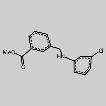 COC(=O)c1cccc(CNc2cccc(Cl)c2)c1